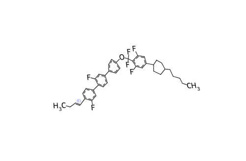 CC/C=C/c1ccc(-c2ccc(-c3ccc(OC(F)(F)c4c(F)cc(C5CCC(CCCCC)CC5)cc4F)cc3)cc2F)cc1F